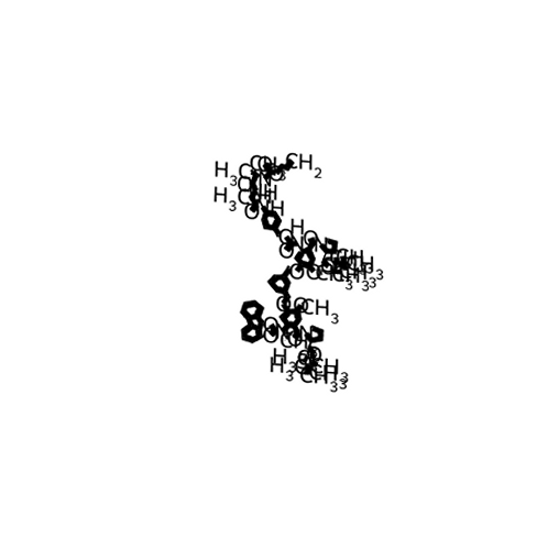 C=CCOC(=O)N[C@H](C(=O)N[C@@H](C)C(=O)Nc1ccc(COC(=O)Nc2cc(OCc3cccc(COc4cc(N(C)C(=O)OC5c6ccccc6-c6ccccc65)c(C(=O)N5CCC[C@H]5CO[Si](C)(C)C(C)(C)C)cc4OC)c3)c(OC)cc2C(=O)N2CCC[C@H]2CO[Si](C)(C)C(C)(C)C)cc1)C(C)C